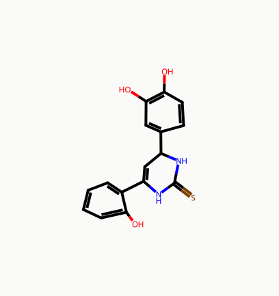 Oc1ccc(C2C=C(c3ccccc3O)NC(=S)N2)cc1O